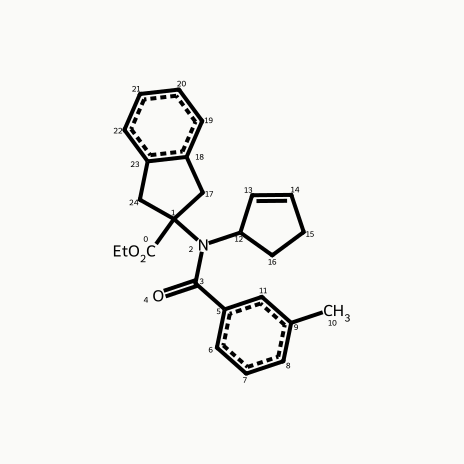 CCOC(=O)C1(N(C(=O)c2cccc(C)c2)C2C=CCC2)Cc2ccccc2C1